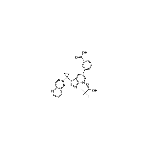 O=C(O)C(F)(F)F.O=C(O)c1cccc(-c2cnc3ncc(C4(c5ccc6ncccc6c5)CC4)n3c2)c1